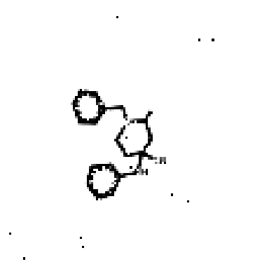 CC1CC(C#N)(Nc2ccccc2)CCN1Cc1ccccc1